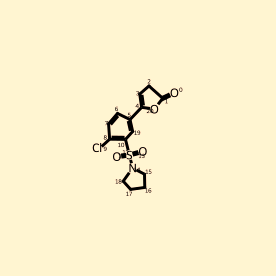 O=C1CC=C(c2ccc(Cl)c(S(=O)(=O)N3CCCC3)c2)O1